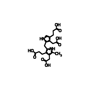 Cc1[nH]c(Cc2[nH]cc(CCC(=O)O)c2CC(=O)O)c(CCC(=O)O)c1CC(=O)O